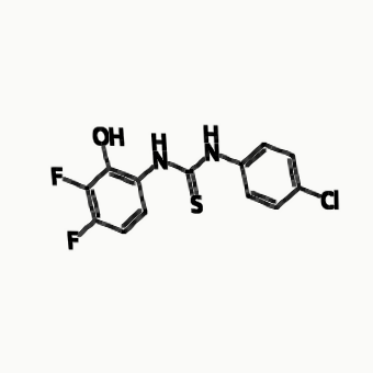 Oc1c(NC(=S)Nc2ccc(Cl)cc2)ccc(F)c1F